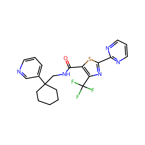 O=C(NCC1(c2cccnc2)CCCCC1)c1sc(-c2ncccn2)nc1C(F)(F)F